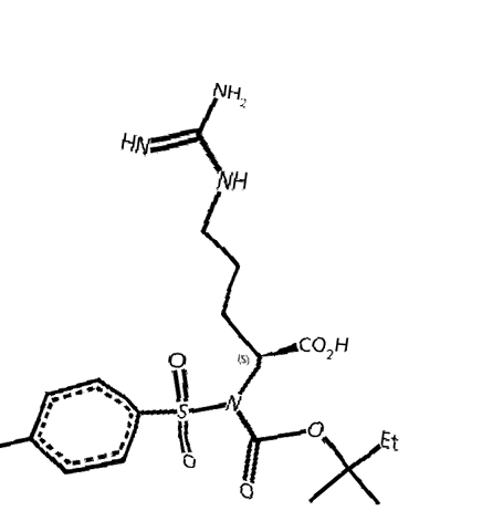 CCC(C)(C)OC(=O)N([C@@H](CCCNC(=N)N)C(=O)O)S(=O)(=O)c1ccc(C)cc1